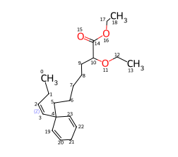 CC/C=C\C1(CCCCCC(OCC)C(=O)OCC)C=CCC=C1